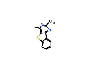 Cc1nc(C(F)(F)F)nc2c1sc1ccccc12